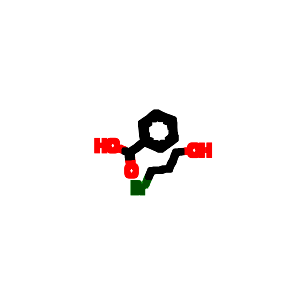 O=C(O)c1ccccc1.OCCCBr